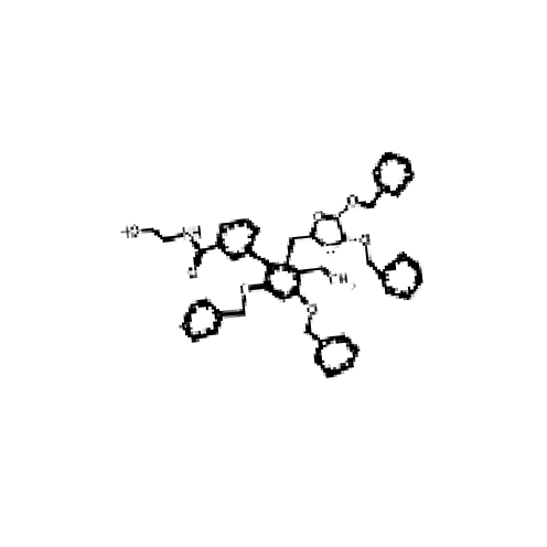 CCc1c(OCc2ccccc2)cc(OCc2ccccc2)c(-c2cccc(C(=O)NCCO)c2)c1CC1O[C@@H](OCc2ccccc2)[C@H](OCc2ccccc2)O1